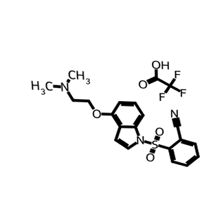 CN(C)CCOc1cccc2c1ccn2S(=O)(=O)c1ccccc1C#N.O=C(O)C(F)(F)F